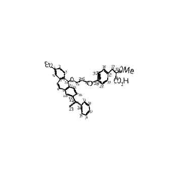 CCc1ccc2c(c1)C=Cc1cc(C(C)c3ccccc3)ccc1C2OCCOc1ccc(CC(OC)C(=O)O)cc1